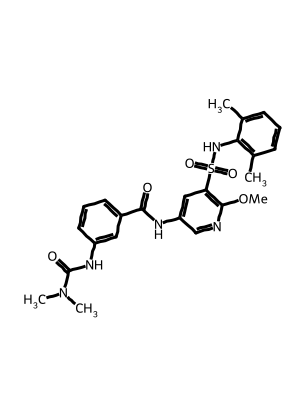 COc1ncc(NC(=O)c2cccc(NC(=O)N(C)C)c2)cc1S(=O)(=O)Nc1c(C)cccc1C